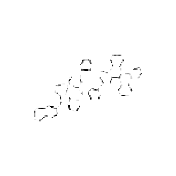 c1ccc(-c2cccc(N(c3cccc(-c4ccc5c(c4)c(-c4ccccc4)c(-c4ccccc4)c4ccccc45)c3)c3cccc4c3c3ccccc3n4-c3ccc4ccccc4c3)c2)cc1